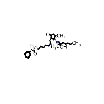 CCCCC[C@](C)(O)/C=C/[C@H]1[C@H](C)CC(=O)[C@@H]1C/C=C\CCCCOC(=O)Nc1ccccc1